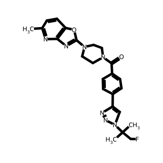 Cc1ccc2oc(N3CCN(C(=O)c4ccc(-c5cn(C(C)(C)CF)nn5)cc4)CC3)nc2n1